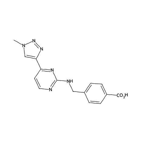 Cn1cc(-c2ccnc(NCc3ccc(C(=O)O)cc3)n2)nn1